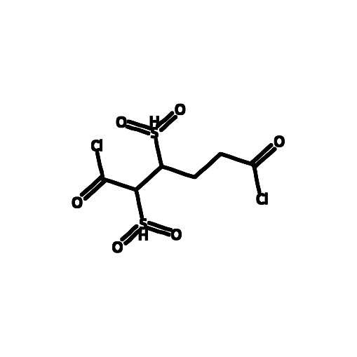 O=C(Cl)CCC(C(C(=O)Cl)[SH](=O)=O)[SH](=O)=O